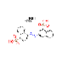 O=S(=O)(O)c1cc(N=Nc2ccc(S(=O)(=O)O)c3ccccc23)cc2ccccc12.[NaH].[NaH]